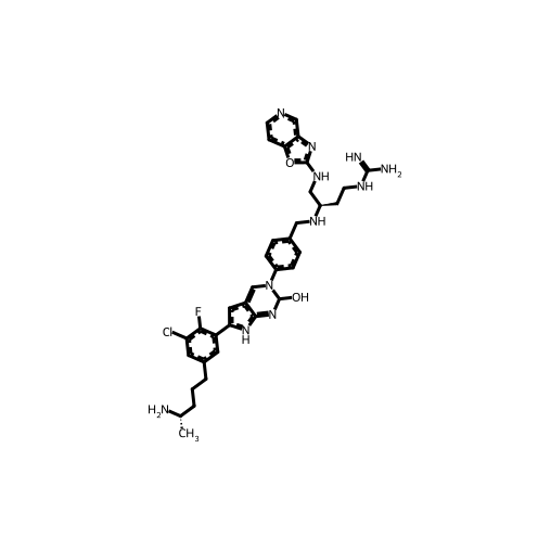 C[C@H](N)CCCc1cc(Cl)c(F)c(-c2cc3c([nH]2)=NC(O)N(c2ccc(CN[C@H](CCNC(=N)N)CNc4nc5cnccc5o4)cc2)C=3)c1